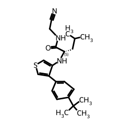 CC(C)C[C@H](Nc1cscc1-c1ccc(C(C)(C)C)cc1)C(=O)NCC#N